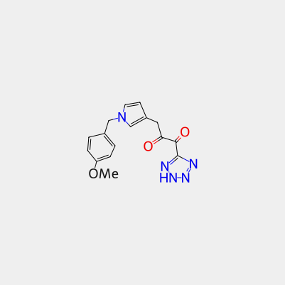 COc1ccc(Cn2ccc(CC(=O)C(=O)c3nn[nH]n3)c2)cc1